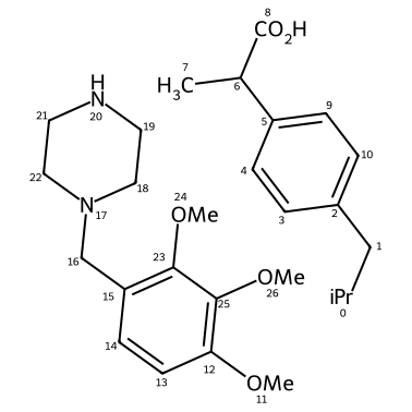 CC(C)Cc1ccc(C(C)C(=O)O)cc1.COc1ccc(CN2CCNCC2)c(OC)c1OC